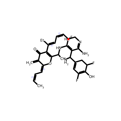 C=c1c(=O)c(/C(=C/C=C\CF)CC)c(C(C)NC2=C(C(N)C3=CC(F)=C(O)C(F)C3)C(N)=NCN2)o/c1=C/C=C\C